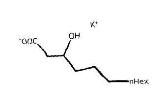 CCCCCCCCCC(O)CC(=O)[O-].[K+]